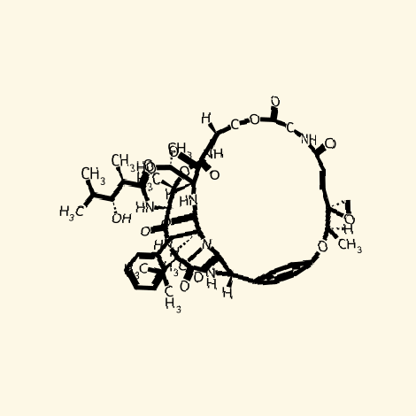 CC(C)[C@@H](O)[C@@H](C)C(=O)N[C@@H]1C(=O)N[C@H](C(C)C)C(=O)N[C@@H]2C(=O)N(C)[C@@H](Cc3ccccc3)C(=O)N[C@H]([C@@H](C)O)C(=O)N[C@@H](COC(=O)CNC(=O)/C=C/[C@]3(CO3)[C@@H](C)Oc3ccc2cc3)C(=O)O[C@@H]1C